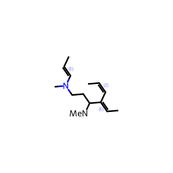 C/C=C\C(=C/C)C(CCN(C)/C=C/C)NC